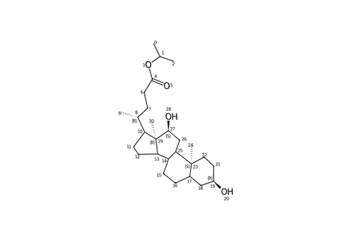 CC(C)OC(=O)CC[C@@H](C)C1CCC2C3CCC4C[C@H](O)CC[C@]4(C)C3C[C@H](O)[C@@]21C